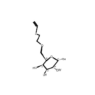 C=COCCOC[C@H]1O[C@H](O)[C@H](O)[C@@H](O)[C@H]1O